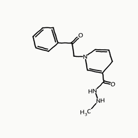 CNNC(=O)C1=CN(CC(=O)c2ccccc2)C=CC1